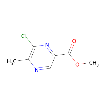 COC(=O)c1cnc(C)c(Cl)n1